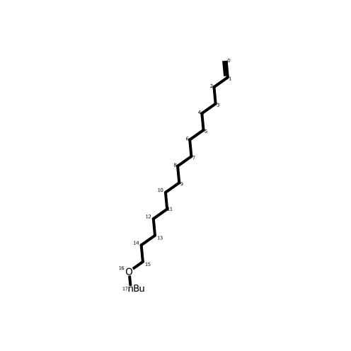 C=CCCCCCCCCCCCCCCOCCCC